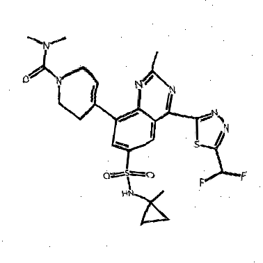 Cc1nc(-c2nnc(C(F)F)s2)c2cc(S(=O)(=O)NC3(C)CC3)cc(C3=CCN(C(=O)N(C)C)CC3)c2n1